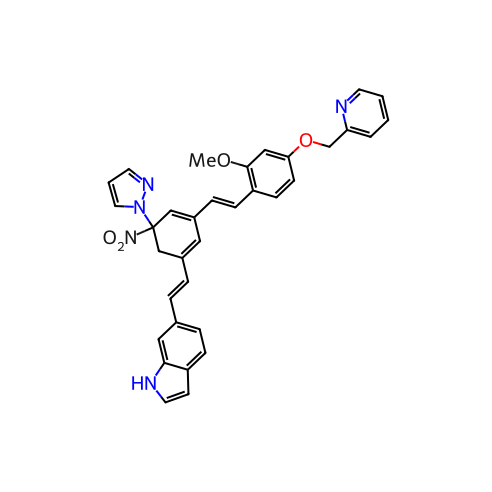 COc1cc(OCc2ccccn2)ccc1C=CC1=CC(n2cccn2)([N+](=O)[O-])CC(C=Cc2ccc3cc[nH]c3c2)=C1